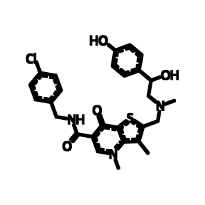 Cc1c(CN(C)CC(O)c2ccc(O)cc2)sc2c(=O)c(C(=O)NCc3ccc(Cl)cc3)cn(C)c12